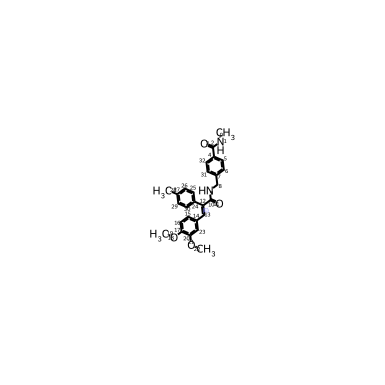 CNC(=O)c1ccc(CNC(=O)/C(=C/c2ccc(OC)c(OC)c2)c2ccc(C)cc2)cc1